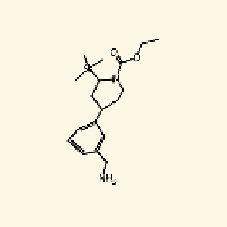 CCOC(=O)N1CCC(c2cccc(CN)c2)CC1[Si](C)(C)C